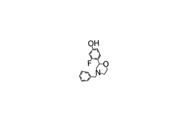 Oc1ccc(C2CN(Cc3ccccc3)CCO2)c(F)c1